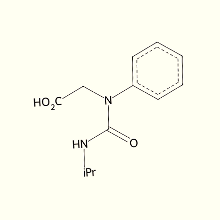 CC(C)NC(=O)N(CC(=O)O)c1ccccc1